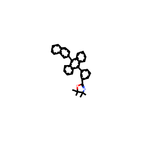 CC1(C)N=C(c2cccc(-c3c4ccccc4c(-c4ccc5ccccc5c4)c4ccccc34)c2)OC1(C)C